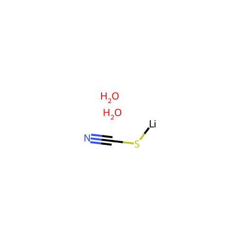 O.O.[Li][S]C#N